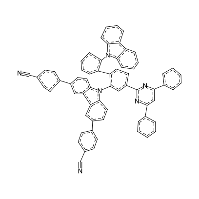 N#Cc1ccc(-c2ccc3c(c2)c2cc(-c4ccc(C#N)cc4)ccc2n3-c2cc(-c3nc(-c4ccccc4)cc(-c4ccccc4)n3)ccc2-c2ccccc2-n2c3ccccc3c3ccccc32)cc1